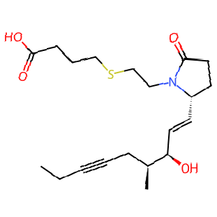 CCC#CC[C@H](C)[C@H](O)C=C[C@H]1CCC(=O)N1CCSCCCC(=O)O